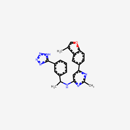 Cc1nc(NC(C)c2cccc(-c3nnn[nH]3)c2)cc(-c2ccc3occ(C)c3c2)n1